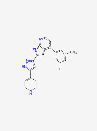 COc1cc(F)cc(-c2ccnc3[nH]c(-c4cc(C5=CCNCC5)[nH]n4)cc23)c1